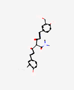 COc1cc(/C=C/C(=O)C(C(=O)/C=C/c2ccc(O)c(CO)c2)C(=O)N(C)C)ccc1O